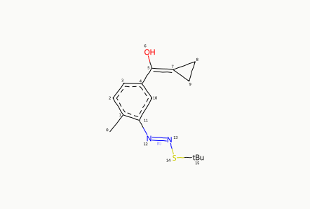 Cc1ccc(C(O)=C2CC2)cc1/N=N/SC(C)(C)C